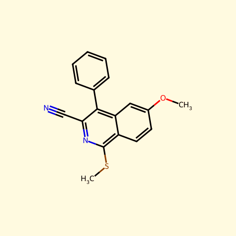 COc1ccc2c(SC)nc(C#N)c(-c3ccccc3)c2c1